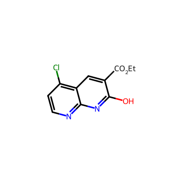 CCOC(=O)c1cc2c(Cl)ccnc2nc1O